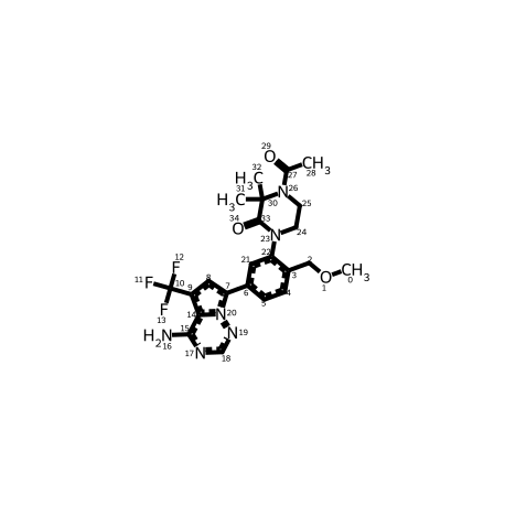 COCc1ccc(-c2cc(C(F)(F)F)c3c(N)ncnn23)cc1N1CCN(C(C)=O)C(C)(C)C1=O